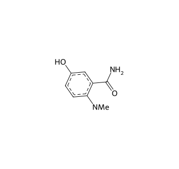 CNc1ccc(O)cc1C(N)=O